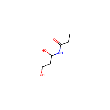 CCC(=O)NC(O)CCO